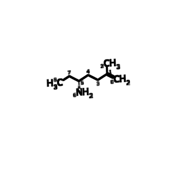 C=C(C)CC[C@H](N)CC